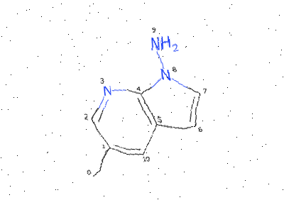 Cc1cnc2c(ccn2N)c1